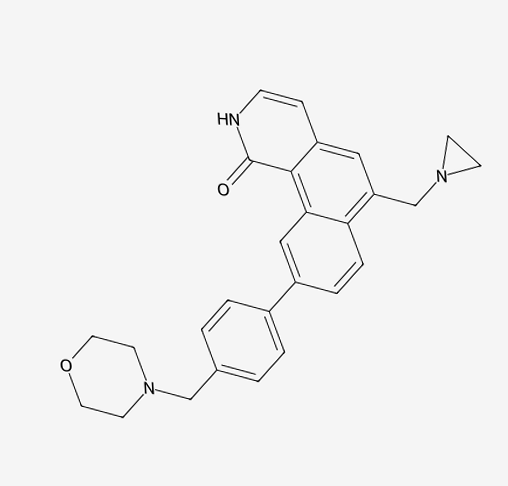 O=c1[nH]ccc2cc(CN3CC3)c3ccc(-c4ccc(CN5CCOCC5)cc4)cc3c12